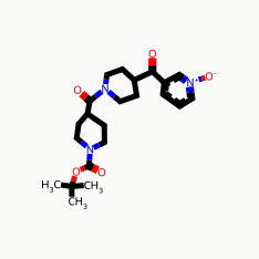 CC(C)(C)OC(=O)N1CCC(C(=O)N2CCC(C(=O)c3ccc[n+]([O-])c3)CC2)CC1